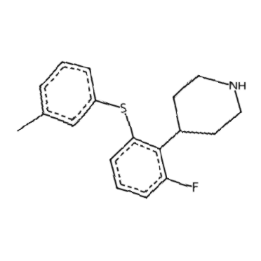 Cc1cccc(Sc2cccc(F)c2C2CCNCC2)c1